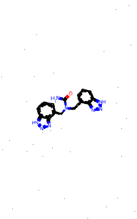 NC(=O)N(Cc1cccc2[nH]nnc12)Cc1cccc2[nH]nnc12